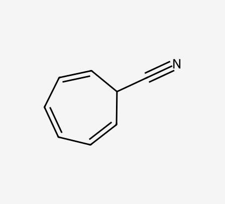 N#CC1C=CC=CC=C1